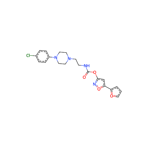 O=C(NCCN1CCN(c2ccc(Cl)cc2)CC1)Oc1cc(-c2ccco2)on1